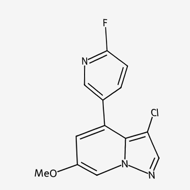 COc1cc(-c2ccc(F)nc2)c2c(Cl)cnn2c1